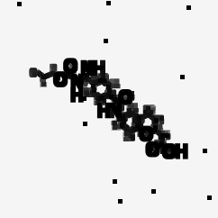 CCCOC(=O)NC(=N)c1ccc(C(=O)Nc2ccc3c(c2)CCC(CC(=O)O)O3)cc1